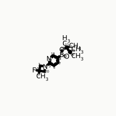 CC1(F)CN(c2ccc(B3OC(C)(C)C(C)(C)O3)cn2)C1